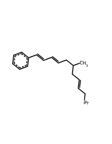 CC(C)CC=CCC(C)CC=CC=Cc1ccccc1